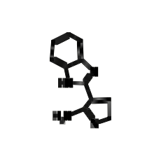 NC1=NCC=C1c1nc2ccccc2[nH]1